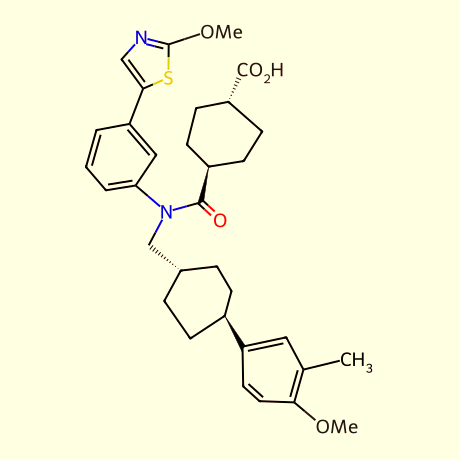 COc1ncc(-c2cccc(N(C[C@H]3CC[C@H](c4ccc(OC)c(C)c4)CC3)C(=O)[C@H]3CC[C@H](C(=O)O)CC3)c2)s1